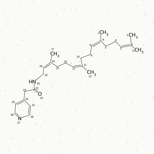 CC(C)=CCCC(C)=CCCC(C)=CCCC(C)=CCNC(=O)Cc1ccncc1